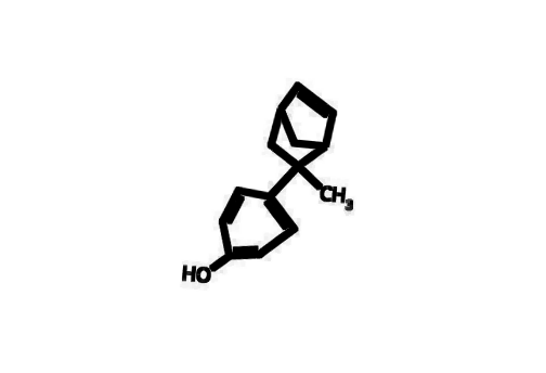 CC1(c2ccc(O)cc2)CC2C=CC1C2